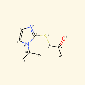 CC(=O)CSc1nccn1C(C)C